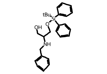 CC(C)(C)[Si](OCC(CO)NCc1ccccc1)(c1ccccc1)c1ccccc1